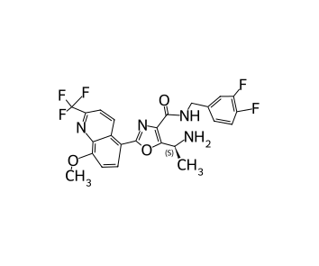 COc1ccc(-c2nc(C(=O)NCc3ccc(F)c(F)c3)c([C@H](C)N)o2)c2ccc(C(F)(F)F)nc12